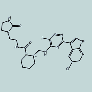 O=C1NCCN1CCNC(=O)N1CCCC[C@@H]1CNc1nc(-c2c[nH]c3c2=CC(Cl)CN=3)ncc1F